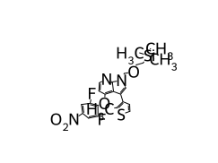 Cc1sccc1-c1cn(COCC[Si](C)(C)C)c2nccc(Oc3c(F)cc([N+](=O)[O-])cc3F)c12